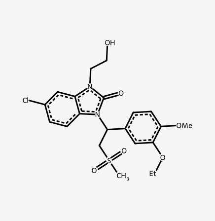 CCOc1cc(C(CS(C)(=O)=O)n2c(=O)n(CCO)c3cc(Cl)ccc32)ccc1OC